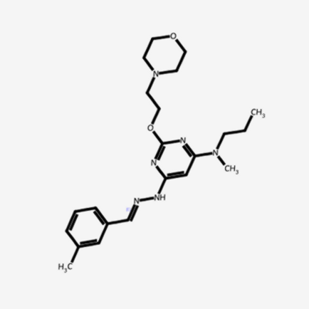 CCCN(C)c1cc(N/N=C/c2cccc(C)c2)nc(OCCN2CCOCC2)n1